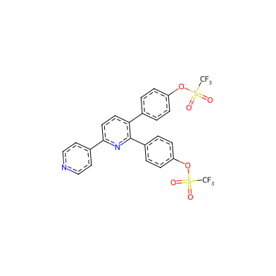 O=S(=O)(Oc1ccc(-c2ccc(-c3ccncc3)nc2-c2ccc(OS(=O)(=O)C(F)(F)F)cc2)cc1)C(F)(F)F